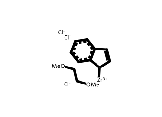 COCCOC.[Cl-].[Cl-].[Cl-].[Zr+3][CH]1C=Cc2ccccc21